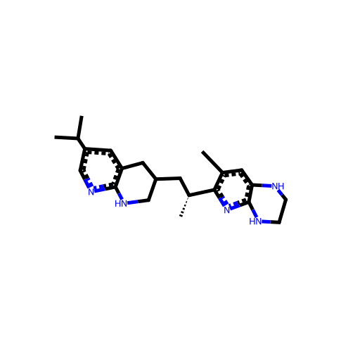 Cc1cc2c(nc1[C@H](C)CC1CNc3ncc(C(C)C)cc3C1)NCCN2